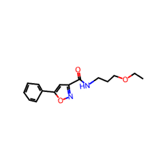 CCOCCCNC(=O)c1cc(-c2ccccc2)on1